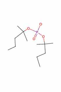 CCCC(C)(C)OP([O])(=O)OC(C)(C)CCC